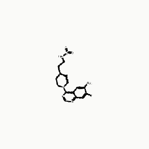 COc1cc2c(N3CCC(CCN[SH](=O)=O)CC3)ncnc2cc1F